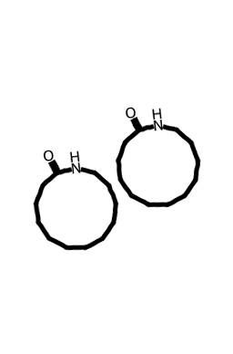 O=C1CCCCCCCCCCCN1.O=C1CCCCCCCCCCCN1